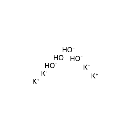 [K+].[K+].[K+].[K+].[OH-].[OH-].[OH-].[OH-]